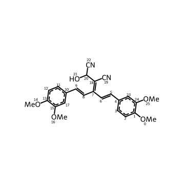 COc1ccc(/C=C/C(/C=C/c2ccc(OC)c(OC)c2)=C(C#N)C(O)C#N)cc1OC